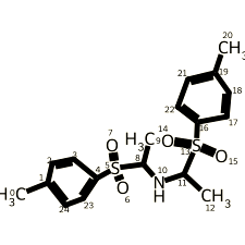 Cc1ccc(S(=O)(=O)C(C)NC(C)S(=O)(=O)c2ccc(C)cc2)cc1